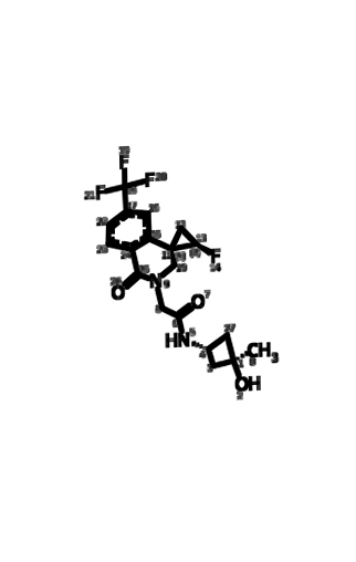 C[C@]1(O)C[C@H](NC(=O)CN2C[C@]3(C[C@H]3F)c3cc(C(F)(F)F)ccc3C2=O)C1